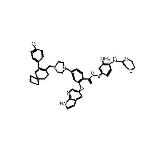 C=C(NSc1ccc(NC2COCCO2)c(N)c1)c1ccc(N2CCN(CC3=C(c4ccc(Cl)cc4)CC4(CCC4)CC3)CC2)cc1Oc1cnc2[nH]ccc2c1